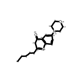 CCCCCC1=Nc2ccc(N3CCOCC3)cc2C(=O)C1